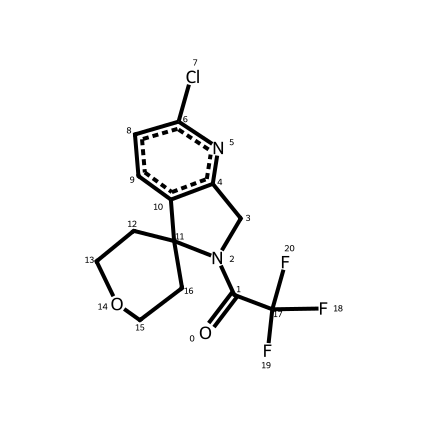 O=C(N1Cc2nc(Cl)ccc2C12CCOCC2)C(F)(F)F